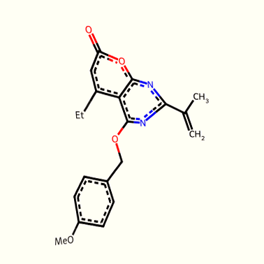 C=C(C)c1nc(OCc2ccc(OC)cc2)c2c(CC)cc(=O)oc2n1